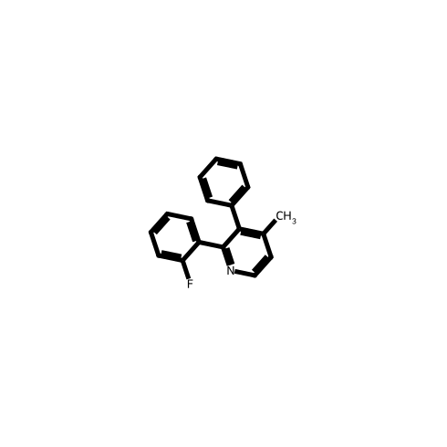 Cc1ccnc(-c2ccccc2F)c1-c1ccccc1